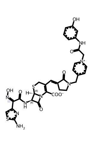 Nc1nc(/C(=N/O)C(=O)N[C@@H]2C(=O)N3C(C(=O)[O-])=C(C=C4CCN(Cc5cc[n+](CC(=O)Nc6cccc(O)c6)cc5)C4=O)CS[C@H]23)cs1